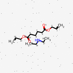 C=CCOC(=O)CCCCC(=O)OCC=C.CCNCC